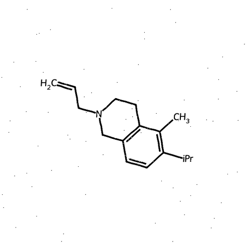 C=CCN1CCc2c(ccc(C(C)C)c2C)C1